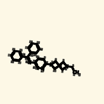 CCN1CC2(C1)CN(c1ccc(N=C(c3ccccc3)c3ccccc3)nn1)C2